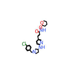 O=C(/C=C/c1ccc(N[C@@H]2CCN(Cc3ccc(Cl)cc3)C2)nc1)NOC1CCCCO1